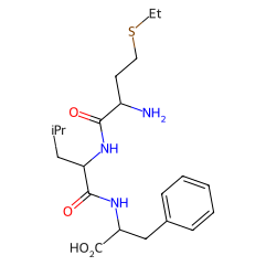 CCSCCC(N)C(=O)NC(CC(C)C)C(=O)NC(Cc1ccccc1)C(=O)O